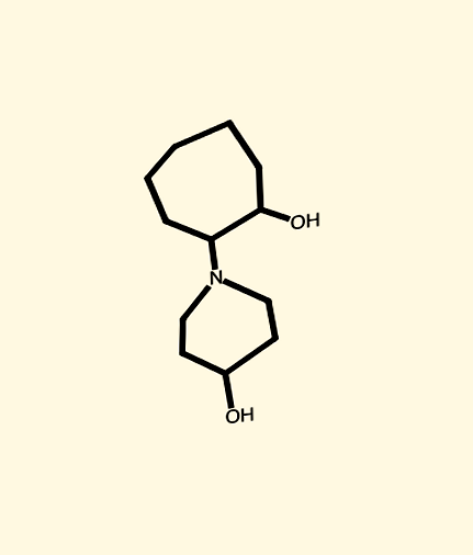 OC1CCN(C2CCCCCC2O)CC1